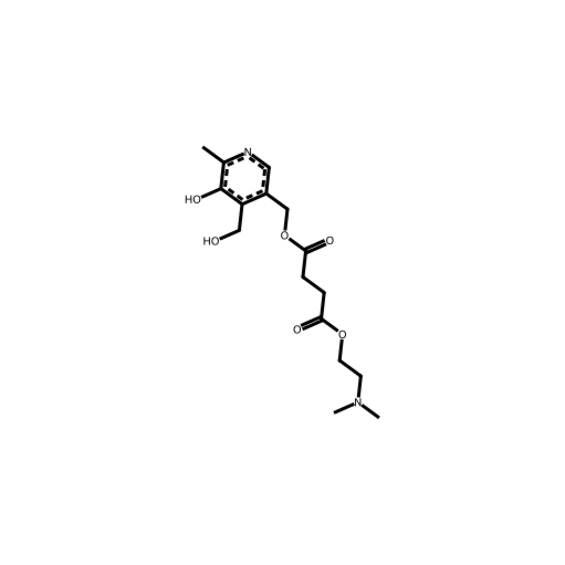 Cc1ncc(COC(=O)CCC(=O)OCCN(C)C)c(CO)c1O